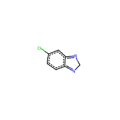 Clc1ccc2c(c1)=NCN=2